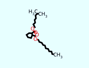 CCCCCCCCCCCOC(=O)C1CCCCC1C(=O)OCCCCCCC(C)C